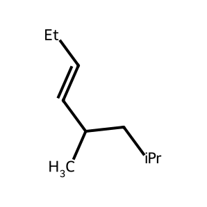 CCC=CC(C)CC(C)C